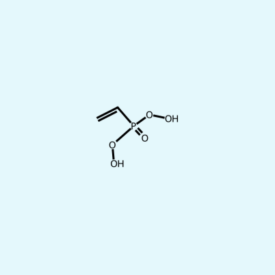 C=CP(=O)(OO)OO